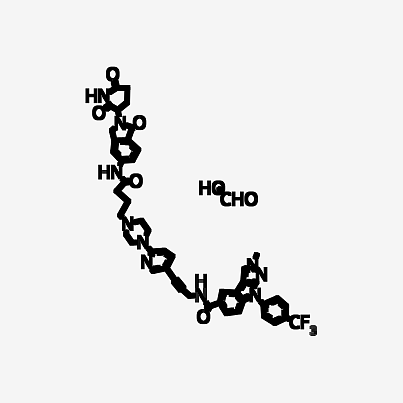 Cn1cc2c3cc(C(=O)NCC#Cc4ccc(N5CCN(CCCC(=O)Nc6ccc7c(c6)CN(C6CCC(=O)NC6=O)C7=O)CC5)nc4)ccc3n(-c3ccc(C(F)(F)F)cc3)c2n1.O=CO